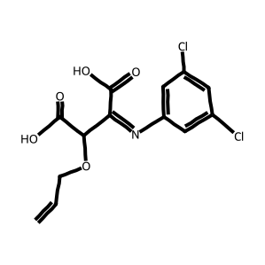 C=CCOC(C(=O)O)C(=Nc1cc(Cl)cc(Cl)c1)C(=O)O